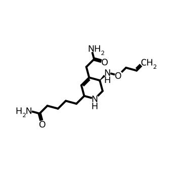 C=CCON[C@H]1CNC(CCCCC(N)=O)C=C1CC(N)=O